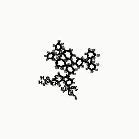 CC(C)(C)c1ccc2c(c1)c1cc(C(C)(C)C)ccc1n2-c1ccc(N(c2ccc(-n3c4ccccc4c4ccccc43)cc2)c2cccc([Si](c3ccccc3)(c3ccccc3)c3ccccc3)c2)cc1